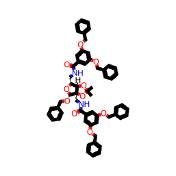 CC1(C)O[C@@H]2[C@@H](CNC(=O)c3cc(OCc4ccccc4)cc(OCc4ccccc4)c3)O[C@@H](OCc3ccccc3)[C@]2(CNC(=O)c2cc(OCc3ccccc3)cc(OCc3ccccc3)c2)O1